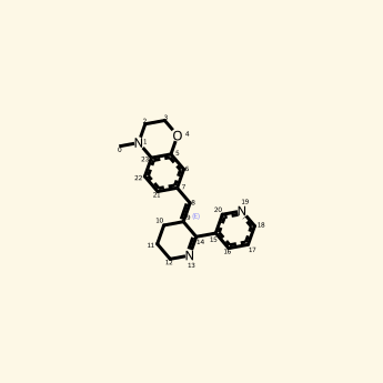 CN1CCOc2cc(/C=C3\CCCN=C3c3cccnc3)ccc21